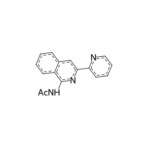 CC(=O)Nc1nc(-c2ccccn2)cc2ccccc12